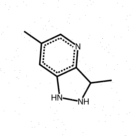 Cc1cnc2c(c1)NNC2C